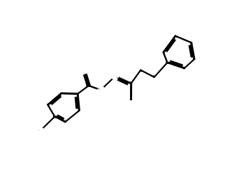 C/C(CCc1ccccc1)=N\NC(=O)c1ccc([N+](=O)[O-])cc1